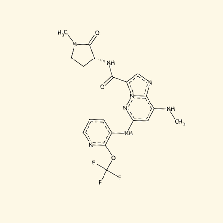 CNc1cc(Nc2cccnc2OC(F)(F)F)nn2c(C(=O)N[C@@H]3CCN(C)C3=O)cnc12